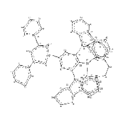 c1ccc(-c2cc(-c3cc(-n4c5ccccc5c5ccccc54)c(N4c5ccccc5CCc5ccccc54)c(-n4c5ccccc5c5ccccc54)c3)nc(-c3ccccc3)n2)cc1